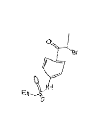 CCS(=O)(=O)Nc1ccc(C(=O)C(C)Br)cc1